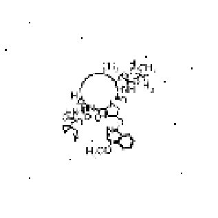 COc1cnc(O[C@@H]2C[C@H]3C(=O)N[C@]4(C(=O)NS(=O)(=O)C5(CF)CC5)C[C@H]4CCCC[C@@H](C)C[C@@H](C)[C@H](NC(=O)OC(C)(C)C)C(=O)N3C2)c2ccccc12